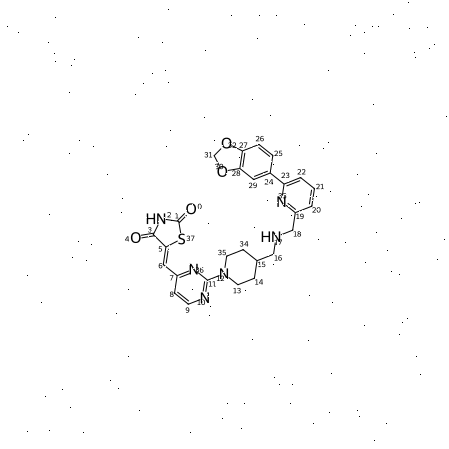 O=C1NC(=O)C(=Cc2ccnc(N3CCC(CNCc4cccc(-c5ccc6c(c5)OCO6)n4)CC3)n2)S1